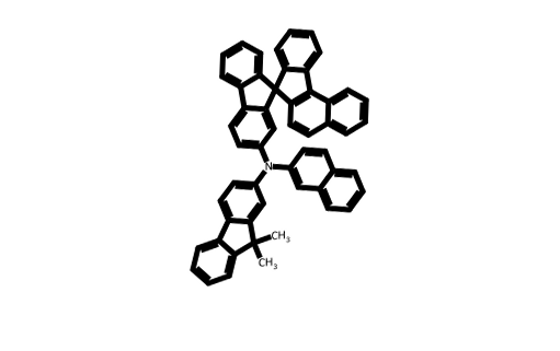 CC1(C)c2ccccc2-c2ccc(N(c3ccc4c(c3)C3(c5ccccc5-4)c4ccccc4-c4c3ccc3ccccc43)c3ccc4ccccc4c3)cc21